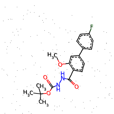 COc1cc(-c2ccc(F)cc2)ccc1C(=O)NNC(=O)OC(C)(C)C